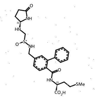 CSCC[C@H](NC(=O)c1ccc(CN[S+]([O-])CN[C@H]2CCC(=O)N2)cc1-c1ccccc1)C(=O)O